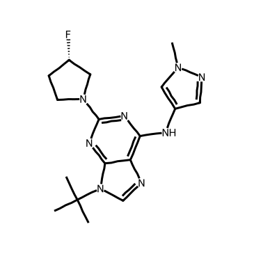 Cn1cc(Nc2nc(N3CC[C@H](F)C3)nc3c2ncn3C(C)(C)C)cn1